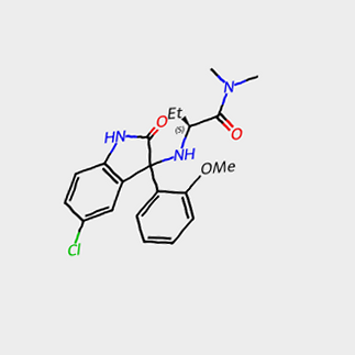 CC[C@H](NC1(c2ccccc2OC)C(=O)Nc2ccc(Cl)cc21)C(=O)N(C)C